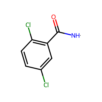 [NH]C(=O)c1cc(Cl)ccc1Cl